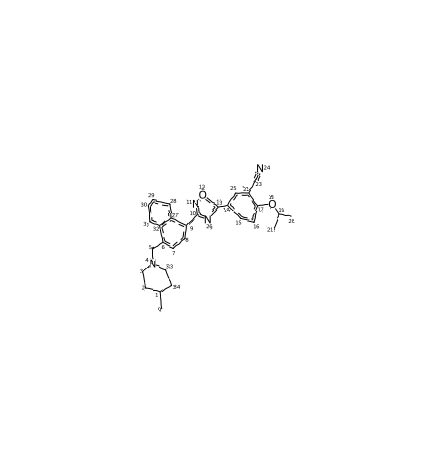 CC1CCN(Cc2ccc(-c3noc(-c4ccc(OC(C)C)c(C#N)c4)n3)c3ccccc23)CC1